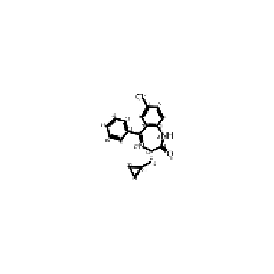 O=C1Nc2ccc(Cl)cc2C(c2ccccc2)=N[C@H]1CC1CC1